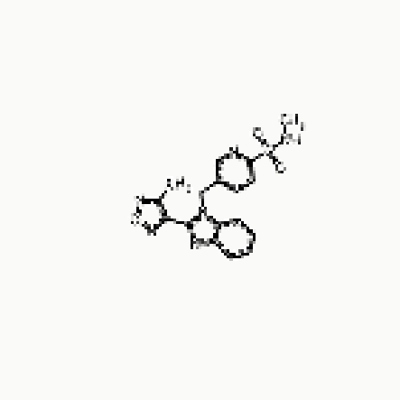 CNS(=O)(=O)c1ccc(Cn2c(-c3nonc3C)nc3ccccc32)cn1